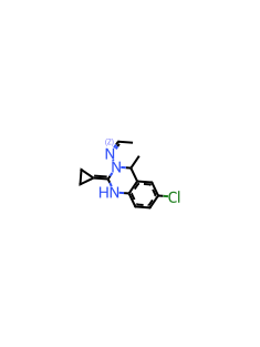 C/C=N\N1C(=C2CC2)Nc2ccc(Cl)cc2C1C